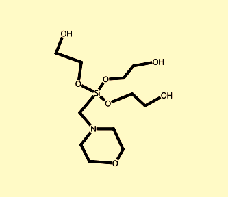 OCCO[Si](CN1CCOCC1)(OCCO)OCCO